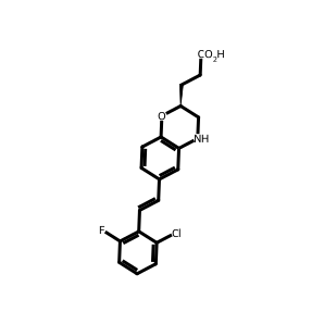 O=C(O)CC[C@H]1CNc2cc(C=Cc3c(F)cccc3Cl)ccc2O1